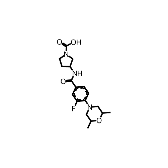 CC1CN(c2ccc(C(=O)NC3CCN(C(=O)O)C3)cc2F)CC(C)O1